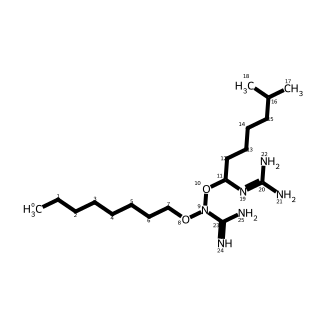 CCCCCCCCON(OC(CCCCC(C)C)N=C(N)N)C(=N)N